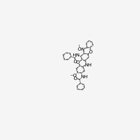 COc1cc2oc3c(NC(=O)c4ccccc4)c4c(cc3[nH]c2cc1NC(=O)c1ccccc1)oc1ccccc1n4OC